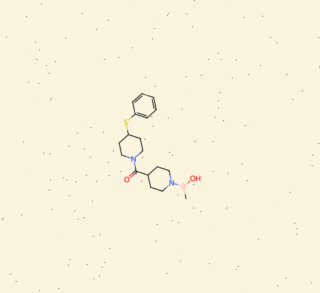 CB(O)N1CCC(C(=O)N2CCC(Sc3ccccc3)CC2)CC1